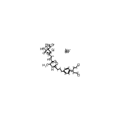 C[C@H](NC(=O)CCCc1ccc(N(CCCl)CCCl)cc1)C(=O)NCCCC(O)(P(=O)([O-])[O-])P(=O)(O)O.[Na+].[Na+]